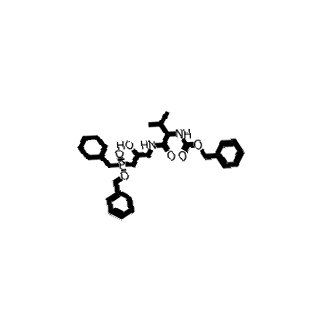 CC(C)C(NC(=O)OCc1ccccc1)C(=O)NCC(O)CP(=O)(CC1CCCCC1)OCc1ccccc1